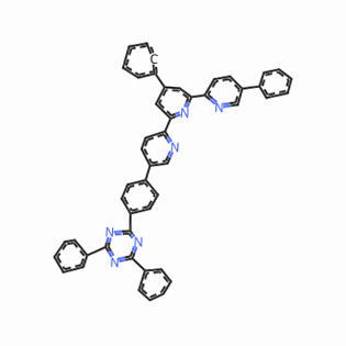 c1ccc(-c2ccc(-c3cc(-c4ccccc4)cc(-c4ccc(-c5ccc(-c6nc(-c7ccccc7)nc(-c7ccccc7)n6)cc5)cn4)n3)nc2)cc1